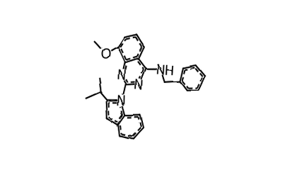 COc1cccc2c(NCc3ccccc3)nc(-n3c(C(C)C)cc4ccccc43)nc12